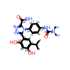 CC(C)c1cc(-c2nnc(C(N)=O)n2-c2ccc(NC(=O)N(C)C)cc2)c(O)cc1O